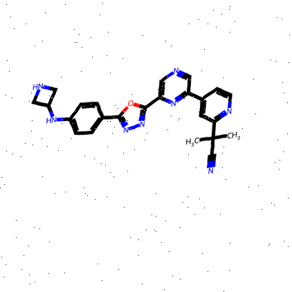 CC(C)(C#N)c1cc(-c2cncc(-c3nnc(-c4ccc(NC5CNC5)cc4)o3)n2)ccn1